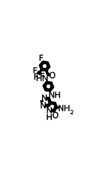 Nc1cc2c(Nc3ccc(NC(=O)c4ccc(F)cc4C(F)(F)F)cc3)ncnc2[nH]c1=O